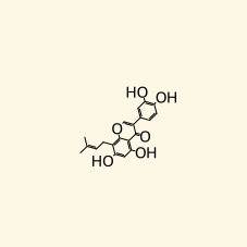 CC(C)=CCc1c(O)cc(O)c2c(=O)c(-c3ccc(O)c(O)c3)coc12